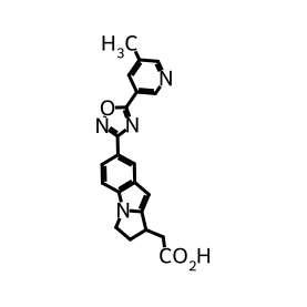 Cc1cncc(-c2nc(-c3ccc4c(c3)cc3n4CCC3CC(=O)O)no2)c1